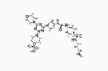 CCS(=O)(=O)N1CCN(c2nc(-c3ccc(NC(=O)Nc4ccc(C(=O)NCCCN(C)C)cc4)cc3)nc(N3CCOCC3)n2)CC1